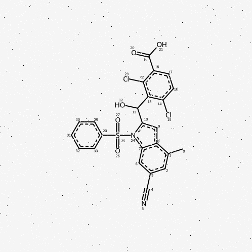 Cc1cc(C#N)cc2c1cc(C(O)c1c(Cl)ccc(C(=O)O)c1Cl)n2S(=O)(=O)c1ccccc1